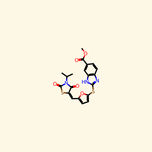 COC(=O)c1ccc2nc(Sc3ccc(C=C4SC(=O)N(C(C)C)C4=O)o3)[nH]c2c1